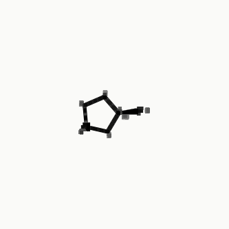 F[C@@H]1CC[N]C1